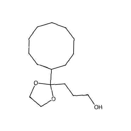 OCCCC1(C2CCCCCCCCC2)OCCO1